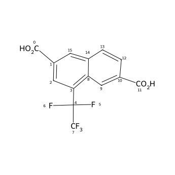 O=C(O)c1cc(C(F)(F)C(F)(F)F)c2cc(C(=O)O)ccc2c1